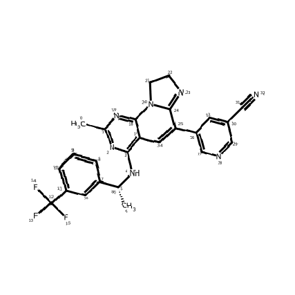 Cc1nc(N[C@H](C)c2cccc(C(F)(F)F)c2)c2c(n1)N1CCN=C1C(c1cncc(C#N)c1)=C2